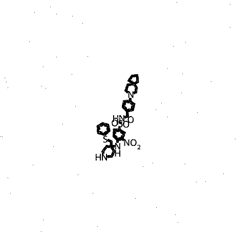 O=C(NS(=O)(=O)c1ccc(NC2(CSc3ccccc3)CCNCC2)c([N+](=O)[O-])c1)c1ccc(N2CCC3(CCCC3)CC2)cc1